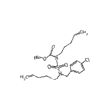 C=CCCCN(Cc1ccc(Cl)cc1)S(=O)(=O)N(CCCC=C)C(=O)OC(C)(C)C